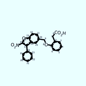 O=C(O)Cc1ccccc1OCc1ccc2oc([N+](=O)[O-])c(-c3ccccc3)c2c1